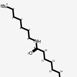 CC(C)(C)CCCCCCNC(=O)CCCCCC(C)(C)C